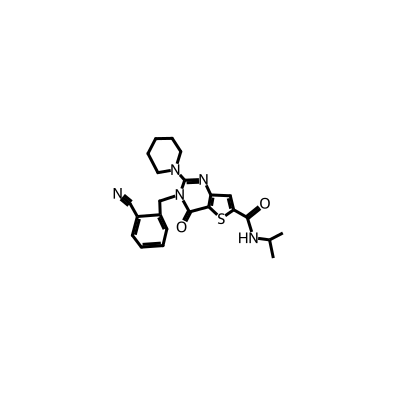 CC(C)NC(=O)c1cc2nc(N3CCCCC3)n(Cc3ccccc3C#N)c(=O)c2s1